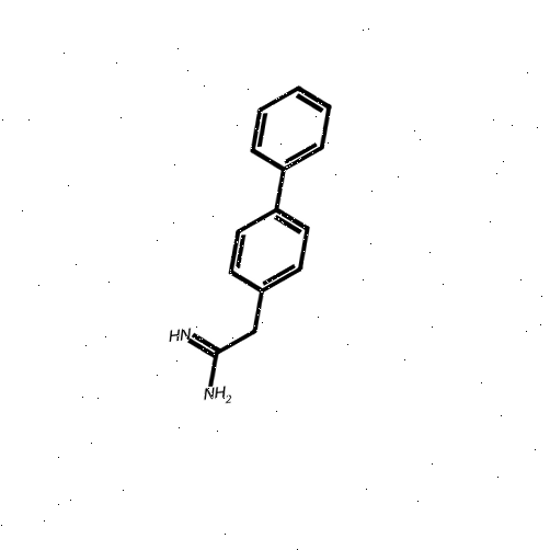 N=C(N)Cc1ccc(-c2ccccc2)cc1